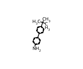 CC(C)(C)c1ccc(-c2ccc(N)cc2)cc1